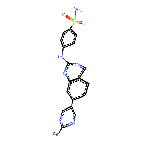 COc1ncc(-c2ccc3cnc(Nc4ccc(S(N)(=O)=O)cc4)nc3c2)cn1